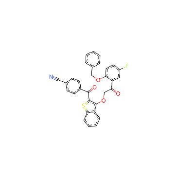 N#Cc1ccc(C(=O)c2sc3ccccc3c2OCC(=O)c2cc(F)ccc2OCc2ccccc2)cc1